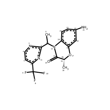 CC(c1nccc(C(F)(F)F)n1)N1C(=O)[C@@H](C)Oc2cc(N)ccc21